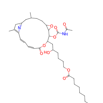 CCCCCCCC(=O)OCCCCC(O)CC1OC(=O)/C=C\C=C\C2=C(C)CC(=N2)CC(C)CCC2OC2C1OC(=O)NC(C)=O